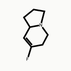 FC1=CC2CCCN2CC1